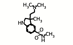 CNS(=O)(=O)c1ccc2c(c1)C(C)(CCN(C)C)CN2